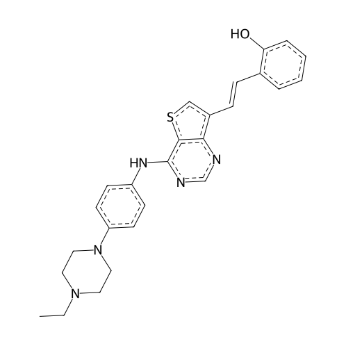 CCN1CCN(c2ccc(Nc3ncnc4c(/C=C/c5ccccc5O)csc34)cc2)CC1